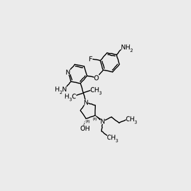 CCCN(CC)[C@@H]1CN(C(C)(C)c2c(Oc3ccc(N)cc3F)ccnc2N)C[C@H]1O